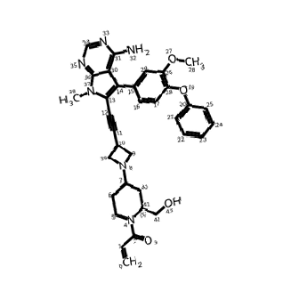 C=CC(=O)N1CCC(N2CC(C#Cc3c(-c4ccc(Oc5ccccc5)c(OC)c4)c4c(N)ncnc4n3C)C2)C[C@H]1CO